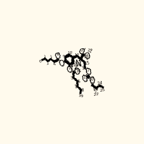 CCCCCC(=O)Oc1ccc(CC(N)(CCOC(=O)OC[C@@H](C)CC)C(=O)OC)cc1OC(=O)CCCCC